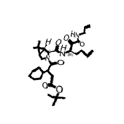 C=CCC[C@@H](NC(=O)[C@@H]1[C@@H]2C(CN1C(=O)C(CC(=O)OC(C)(C)C)C1C=CCCC1)C2(C)C)C(=O)C(=O)NCC=C